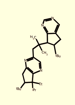 CCC1(C(C)C)c2ncc(CC(C)(C)C3c4ncncc4CC3C(C)(C)C)nc2CC1C(C)(C)C